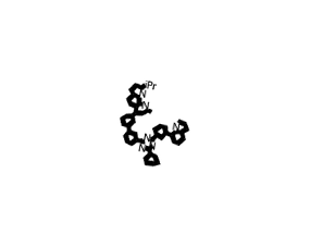 Cc1cc(-c2cccc(-c3cccc(-c4nc(-c5ccccc5)nc(-c5cccc(-c6cccc7cccnc67)c5)n4)c3)c2)c2ccc3ccc(C(C)C)nc3c2n1